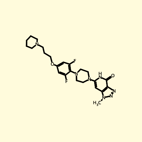 Cn1nnc2c(=O)[nH]c(N3CCN(c4c(F)cc(OCCCN5CCCCC5)cc4F)CC3)cc21